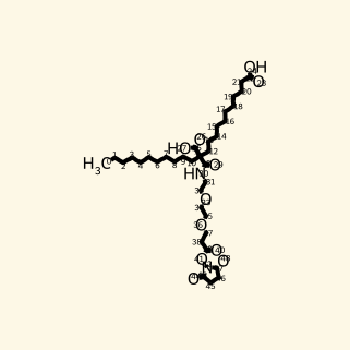 CCCCCCCCCCCC(CCCCCCCCCCC(=O)O)(C(=O)O)C(=O)NCCOCCOCCC(=O)ON1C(=O)CCC1=O